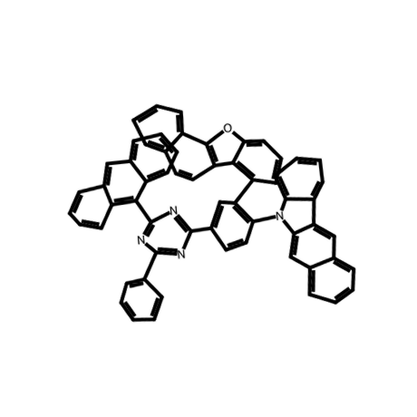 c1ccc(-c2nc(-c3ccc(-n4c5ccccc5c5cc6ccccc6cc54)c(-c4cccc5oc6c7ccccc7ccc6c45)c3)nc(-c3c4ccccc4cc4ccccc34)n2)cc1